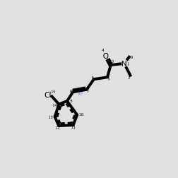 CN(C)C(=O)CC/C=C/c1ccccc1Cl